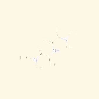 CC(C)C(C(=O)N[C@H](C(=O)N(C)C)C(C)C)N(C)C